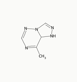 CC1=NC=NN2C=NNC12